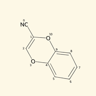 N#CC1=COc2ccccc2O1